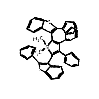 C[Si]1(C)C(c2c(-c3ccccc3)sc3ccccc23)=C(c2ccccc2)C(c2ccccc2)=C1c1c(-c2ccccc2)sc2ccccc12